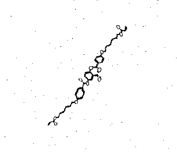 C=CC(=O)OCCCCCCOc1ccc(C(=O)OC2=CCC(OC(=O)c3ccc(OCCCCCCOC(=O)C=C)cc3)C=C2C=O)cc1